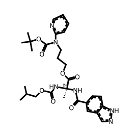 CC(C)COC(=O)N[C@](C)(NC(=O)c1ccc2[nH]ncc2c1)C(=O)OCCCN(C(=O)OC(C)(C)C)c1ccccn1